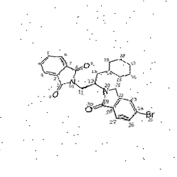 O=C1c2ccccc2C(=O)N1C[C@@H](CC1CCCCC1)N1Cc2cc(Br)ccc2C1=O